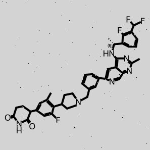 Cc1nc(N[C@H](C)c2cccc(C(F)F)c2F)c2cc(-c3cccc(CN4CCC(c5c(C)cc(C6CCC(=O)NC6=O)cc5F)CC4)c3)ncc2n1